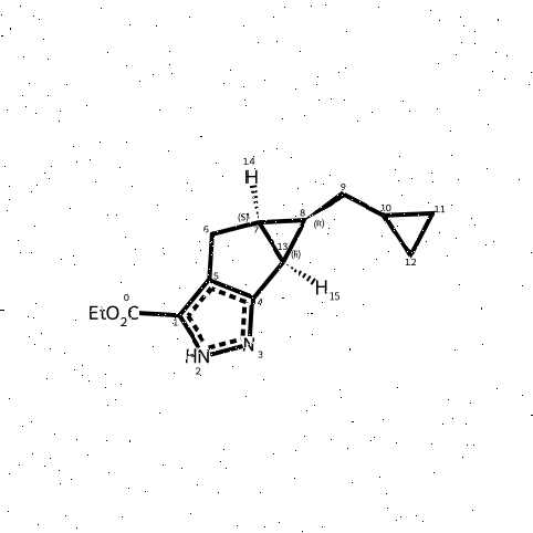 CCOC(=O)c1[nH]nc2c1C[C@H]1[C@@H](CC3CC3)[C@@H]21